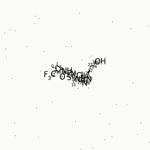 Cc1ccc(NC(=O)c2cnc(C(C)NCc3ncnc(C#CCCCO)c3Cl)s2)cc1C(F)(F)F